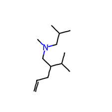 C=CCC(CN(C)CC(C)C)C(C)C